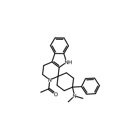 CC(=O)N1CCc2c([nH]c3ccccc23)C12CCC(c1ccccc1)(N(C)C)CC2